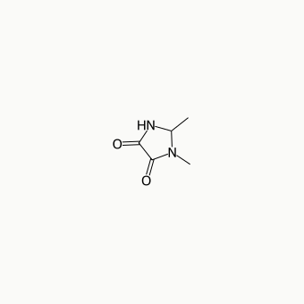 CC1NC(=O)C(=O)N1C